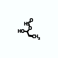 C=CC(O)O[SH]=O